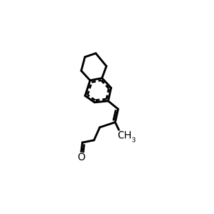 CC(=Cc1ccc2c(c1)CCCC2)CCC=O